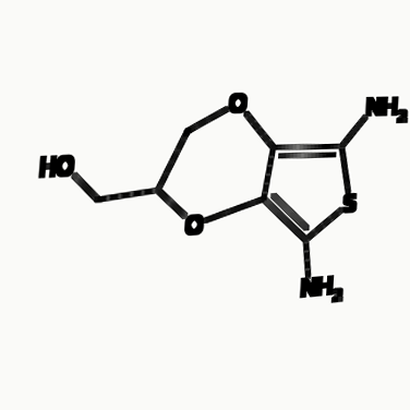 Nc1sc(N)c2c1OCC(CO)O2